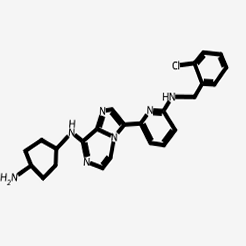 NC1CCC(Nc2nccn3c(-c4cccc(NCc5ccccc5Cl)n4)cnc23)CC1